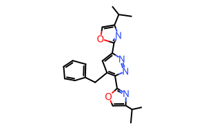 CC(C)c1coc(-c2cc(Cc3ccccc3)c(-c3nc(C(C)C)co3)nn2)n1